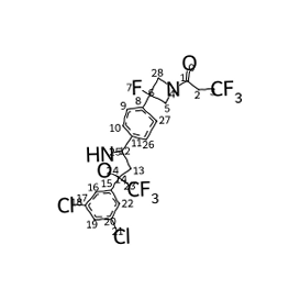 O=C(CC(F)(F)F)N1CC(F)(c2ccc(C3CC(c4cc(Cl)cc(Cl)c4)(C(F)(F)F)ON3)cc2)C1